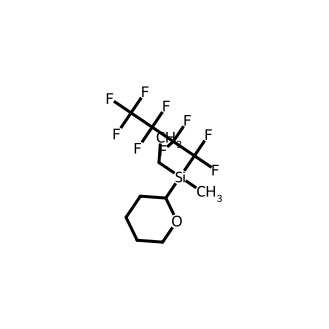 CC[Si](C)(C1CCCCO1)C(F)(F)C(F)(F)C(F)(F)C(F)(F)F